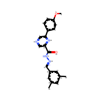 COc1ccc(-c2cncc(C(=O)N/N=C/c3cc(C)cc(C)c3)n2)cc1